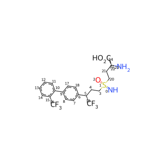 N=S(=O)(CCC(c1ccc(-c2ccccc2C(F)(F)F)cc1)C(F)(F)F)CC[C@H](N)C(=O)O